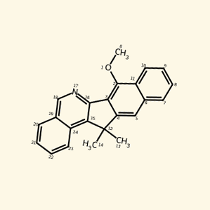 COc1c2c(cc3ccccc13)C(C)(C)c1c-2ncc2ccccc12